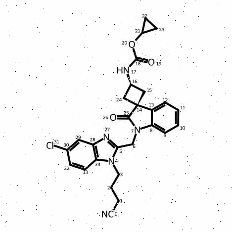 N#CCCCn1c(CN2c3ccccc3[C@]3(C[C@H](NC(=O)OC4CC4)C3)C2=O)nc2cc(Cl)ccc21